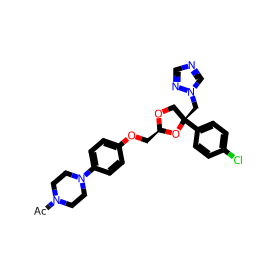 CC(=O)N1CCN(c2ccc(OC[C@H]3OC[C@](Cn4cncn4)(c4ccc(Cl)cc4)O3)cc2)CC1